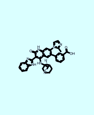 Cc1nccn1-c1cc2[nH]c(=O)c(-c3nc4ccccc4[nH]3)c(N[C@@H]3CN4CCC3CC4)c2cc1-c1cccc(C(=O)O)c1